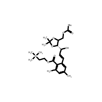 Cc1cc(C)c(C(=O)OCC[Si](C)(C)C)c(/C=C/C(O)[C@@H]2OC(C)(C)OC2COC(=O)C(C)(C)C)c1